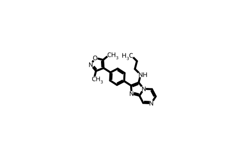 CCCNc1c(-c2ccc(-c3c(C)noc3C)cc2)nc2cnccn12